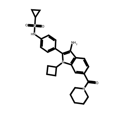 Nc1c(-c2ccc(NS(=O)(=O)C3CC3)cc2)n(C2CCC2)c2cc(C(=O)N3CCCCC3)ccc12